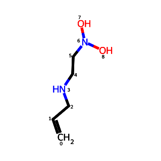 C=CCNCCN(O)O